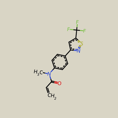 C=CC(=O)N(C)c1ccc(-c2cc(C(F)(F)F)sn2)cc1